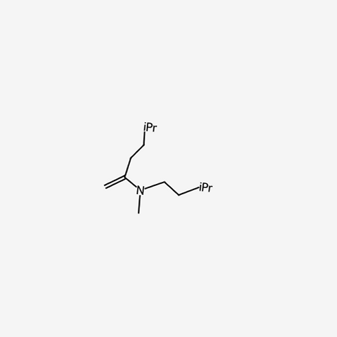 C=C(CCC(C)C)N(C)CCC(C)C